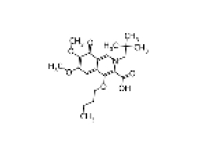 CCCCOc1c2cc(OC)c(OC)c(=O)c-2cn(CC(C)(C)C)c1C(=O)O